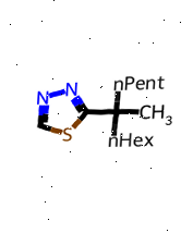 CCCCCCC(C)(CCCCC)c1nncs1